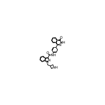 O=C(NC1=CCC(c2n[nH]c(=O)c3ccccc23)C=C1)c1nn(CC2CNC2)c2ccccc12